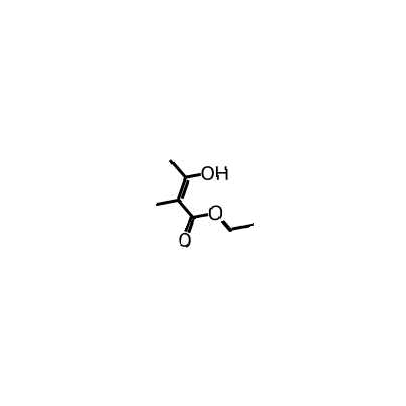 CCOC(=O)C(C)=C(C)O